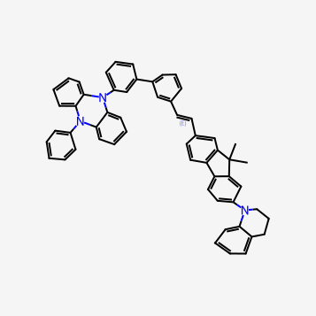 CC1(C)c2cc(/C=C/c3cccc(-c4cccc(N5c6ccccc6N(c6ccccc6)c6ccccc65)c4)c3)ccc2-c2ccc(N3CCCc4ccccc43)cc21